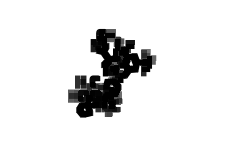 CC[C@@H]1C[C@H](N(Cc2cc(C(F)(F)F)cc(C(F)(F)F)c2)c2ncc(C3C=NN(C)C3)cn2)C[C@H](CC)N1C(=O)OCC1(C(=O)O)CCCC1